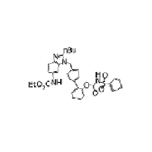 CCCCc1nc2ccc(NC(=O)OCC)cc2n1Cc1ccc(-c2ccccc2OC(=O)NS(=O)(=O)c2ccccc2)cc1